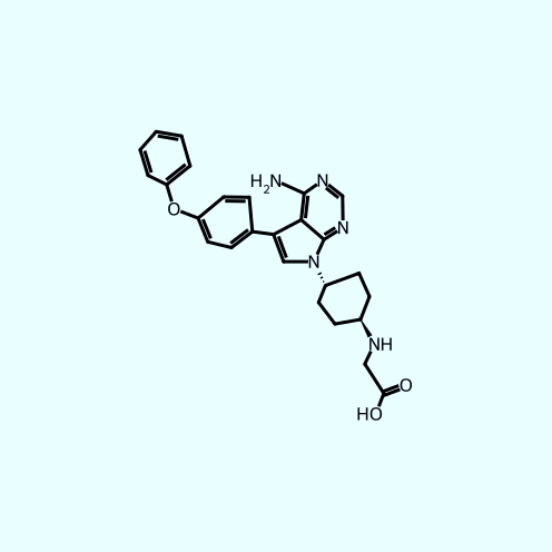 Nc1ncnc2c1c(-c1ccc(Oc3ccccc3)cc1)cn2[C@H]1CC[C@H](NCC(=O)O)CC1